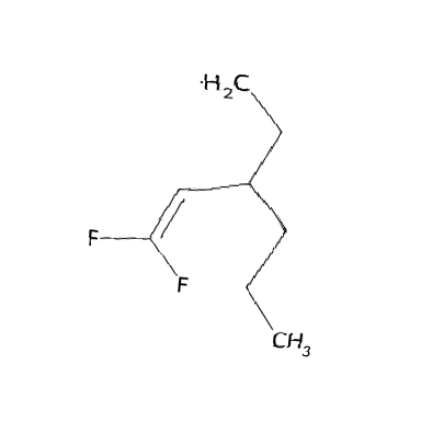 [CH2]CC(C=C(F)F)CCC